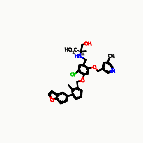 Cc1c(COc2cc(OCc3cncc(C#N)c3)c(CN[C@](C)(CO)C(=O)O)cc2Cl)cccc1-c1ccc2occc2c1